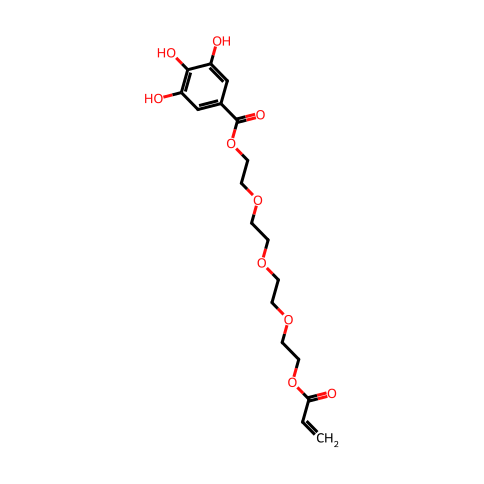 C=CC(=O)OCCOCCOCCOCCOC(=O)c1cc(O)c(O)c(O)c1